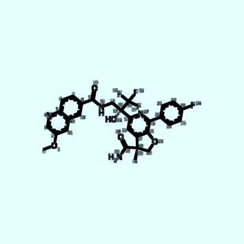 COc1cnc2ccc(C(=O)NC[C@](O)(c3cc4c(c(-c5ccc(F)cc5)n3)OC[C@]4(C)C(N)=O)C(F)(F)F)cc2c1